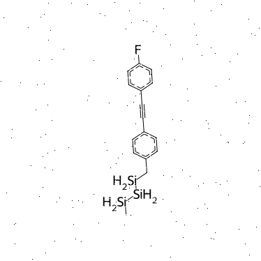 C[SiH2][SiH2][SiH2]Cc1ccc(C#Cc2ccc(F)cc2)cc1